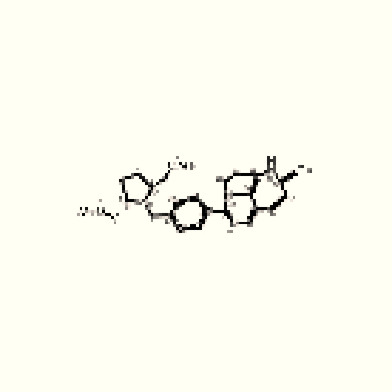 COC[C@@H]1CC[C@@H](COC)N1Cc1ccc(C2=NC=C3C=CC(=O)NC4=C3N2CC4)cc1